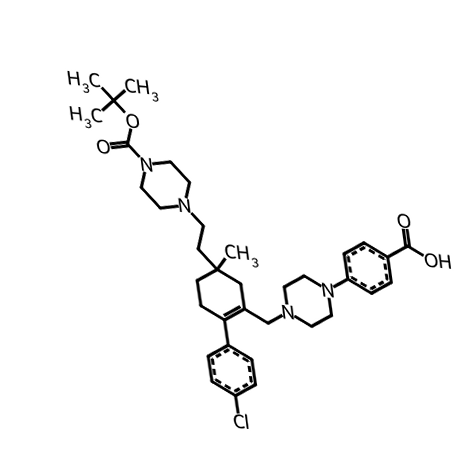 CC1(CCN2CCN(C(=O)OC(C)(C)C)CC2)CCC(c2ccc(Cl)cc2)=C(CN2CCN(c3ccc(C(=O)O)cc3)CC2)C1